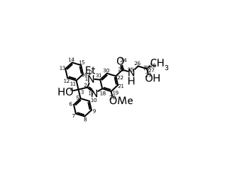 CCn1c(C(O)(c2ccccc2)c2ccccc2)nc2c(OC)cc(C(=O)NC[C@@H](C)O)cc21